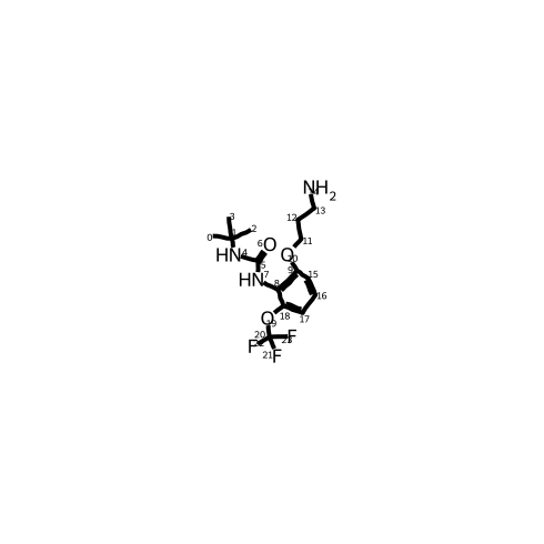 CC(C)(C)NC(=O)Nc1c(OCCCN)cccc1OC(F)(F)F